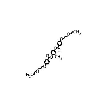 C=CCOCCCOc1ccc(C(=O)Oc2ccc(OC(=O)c3ccc(OCCCOCC=C)cc3)c(C)c2)cc1